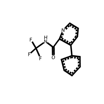 O=C(NC(F)(F)F)c1ncccc1-c1ccccc1